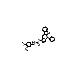 COc1ccc(CNC(=O)Oc2ccn3c2Cc2c([nH]c4ccccc24)C3c2ccccc2)cc1OC